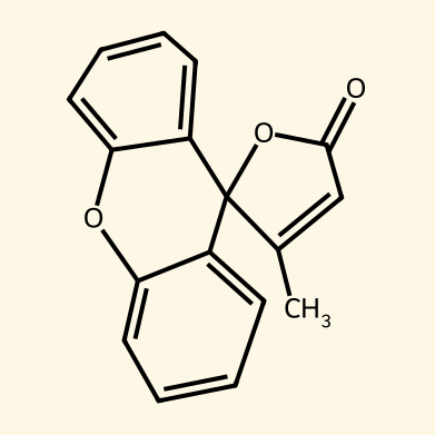 CC1=CC(=O)OC12c1ccccc1Oc1ccccc12